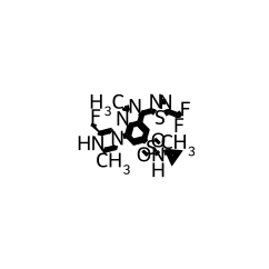 Cc1nc(-c2nnc(C(F)F)s2)c2cc(S(=O)(=O)NC3(C)CC3)cc(N3C[C@H](CF)N[C@@H](C)C3)c2n1